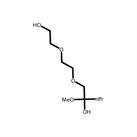 CCCC(O)(COCCOCCO)OC